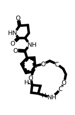 O=C1CCC(NC(=O)c2ccc3c(c2)OCCCCOCCN[C@H]2C[C@@H](C2)O3)C(=O)N1